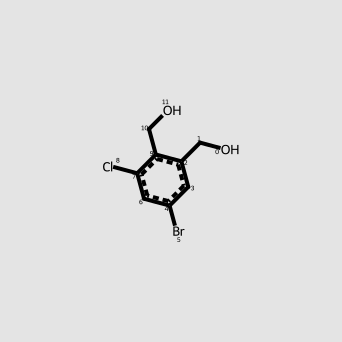 OCc1cc(Br)cc(Cl)c1CO